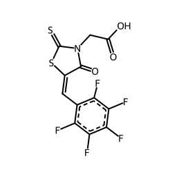 O=C(O)CN1C(=O)/C(=C\c2c(F)c(F)c(F)c(F)c2F)SC1=S